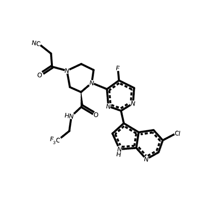 N#CCC(=O)N1CCN(c2nc(-c3c[nH]c4ncc(Cl)cc34)ncc2F)[C@@H](C(=O)NCC(F)(F)F)C1